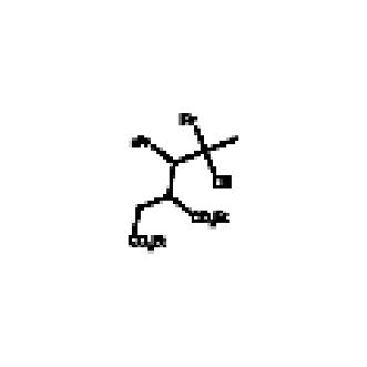 CCCC(C(CC(=O)OCC)C(=O)OCC)C(C)(C#N)C(C)C